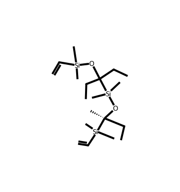 C=C[Si](C)(C)OC(CC)(CC)[Si](C)(C)O[C@@](C)(CC)[Si](C)(C)C=C